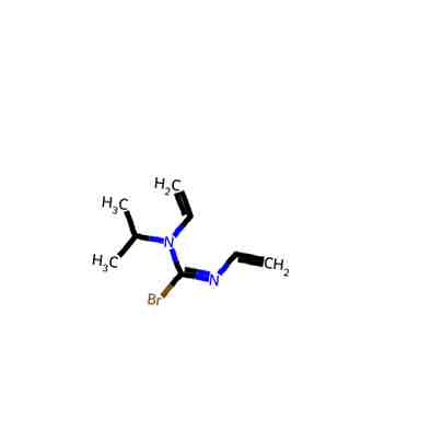 C=C/N=C(/Br)N(C=C)C(C)C